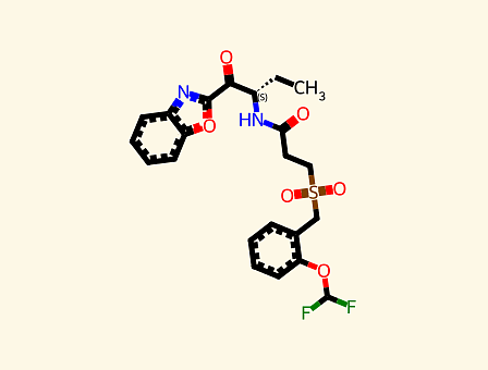 CC[C@H](NC(=O)CCS(=O)(=O)Cc1ccccc1OC(F)F)C(=O)c1nc2ccccc2o1